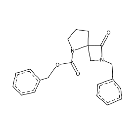 O=C(OCc1ccccc1)N1CCCC12CN(Cc1ccccc1)C2=O